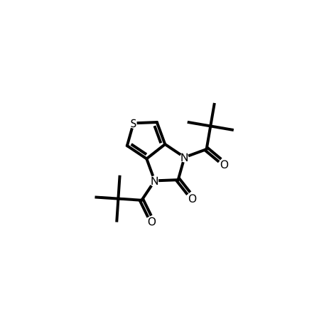 CC(C)(C)C(=O)n1c(=O)n(C(=O)C(C)(C)C)c2cscc21